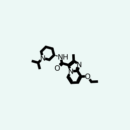 CCOc1cccn2c(C(=O)N[C@H]3CCCN(C(C)C)C3)c(C)nc12